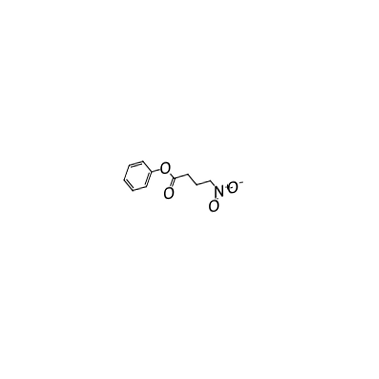 O=C(CCC[N+](=O)[O-])Oc1ccccc1